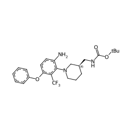 CC(C)(C)OC(=O)NC[C@H]1CCCN(c2c(N)ccc(Oc3ccccc3)c2C(F)(F)F)C1